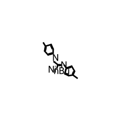 CCCCC(C=Nc1ccc(C)cc1)=Nc1ccc(C)cc1.[Ni]